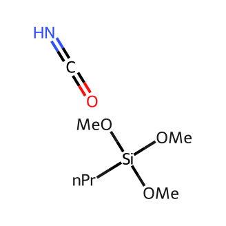 CCC[Si](OC)(OC)OC.N=C=O